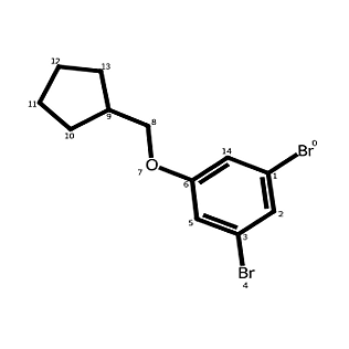 Brc1cc(Br)cc(OCC2CCCC2)c1